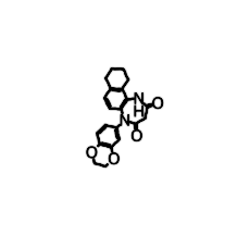 O=C1CC(=O)N(c2ccc3c(c2)OCCO3)c2ccc3c(c2N1)CCCC3